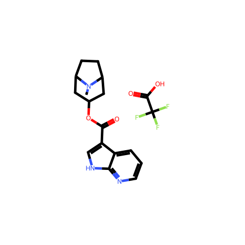 CN1C2CCC1CC(OC(=O)c1c[nH]c3ncccc13)C2.O=C(O)C(F)(F)F